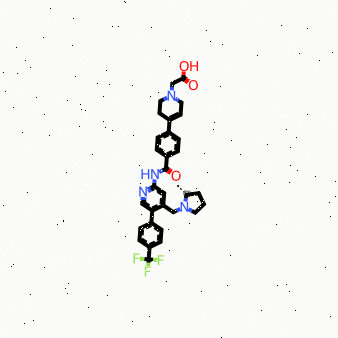 C[C@@H]1CCCN1Cc1cc(NC(=O)c2ccc(C3=CCN(CC(=O)O)CC3)cc2)ncc1-c1ccc(C(F)(F)F)cc1